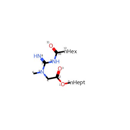 CCCCCCCOC(=O)CN(C)C(=N)NC(=O)CCCCCC